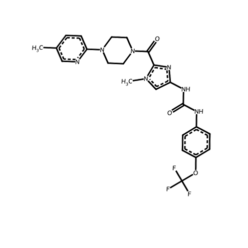 Cc1ccc(N2CCN(C(=O)c3nc(NC(=O)Nc4ccc(OC(F)(F)F)cc4)cn3C)CC2)nc1